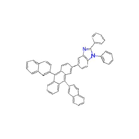 c1ccc(-c2nc3cc(-c4ccc5c(-c6ccc7ccccc7c6)c6ccccc6c(-c6ccc7ccccc7c6)c5c4)ccc3n2-c2ccccc2)cc1